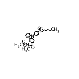 CCCCCC[S+]([O-])c1ccc(-n2c3ccccc3c3cc(C(=O)C(C)=NOC(C)=O)ccc32)cc1